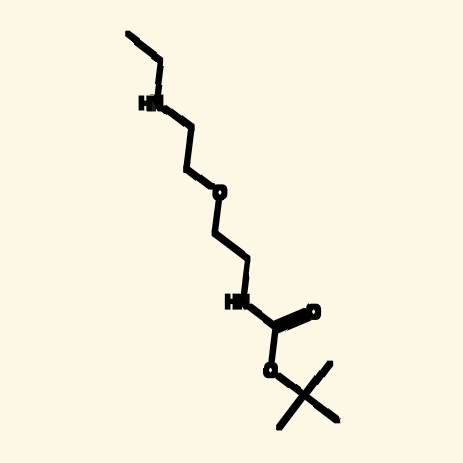 CCNCCOCCNC(=O)OC(C)(C)C